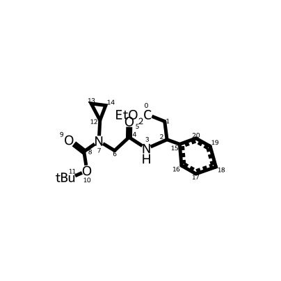 CCOC(=O)CC(NC(=O)CN(C(=O)OC(C)(C)C)C1CC1)c1ccccc1